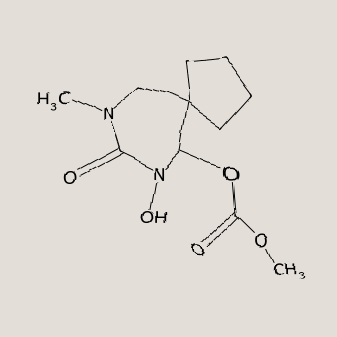 COC(=O)OC1N(O)C(=O)N(C)CC12CCCC2